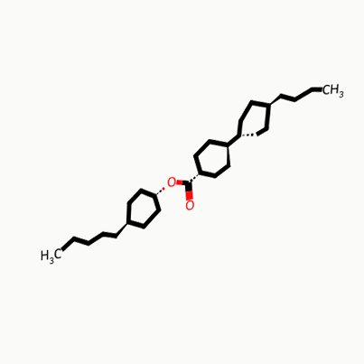 CCCCC[C@H]1CC[C@H](OC(=O)[C@H]2CC[C@H]([C@H]3CC[C@H](CCCC)CC3)CC2)CC1